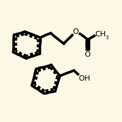 CC(=O)OCCc1ccccc1.OCc1ccccc1